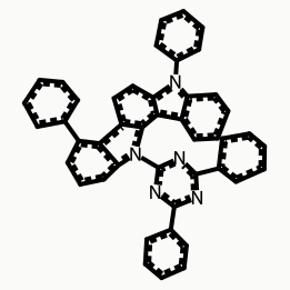 c1ccc(-c2nc(-c3ccccc3)nc(-n3c4cccc(-c5ccccc5)c4c4ccc5c(c6ccccc6n5-c5ccccc5)c43)n2)cc1